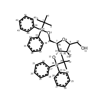 CC(C)(C)[Si](OC[C@H]1OC(CO)[C@@H](F)[C@@H]1O[Si](c1ccccc1)(c1ccccc1)C(C)(C)C)(c1ccccc1)c1ccccc1